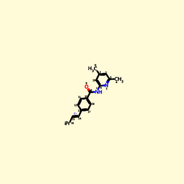 Cc1cc(C)nc(NC(=O)c2ccc(/C=C/C(C)C)cc2)c1